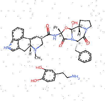 CC(C)[C@@]1(NC(=O)[C@@H]2C=C3c4cccc5[nH]cc(c45)C[C@H]3N(C)C2)O[C@@]2(O)[C@@H]3CCCN3C(=O)[C@H](Cc3ccccc3)N2C1=O.NCCc1ccc(O)c(O)c1